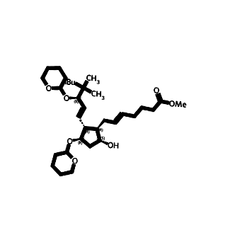 CCCCC(C)(C)[C@@H](C=C[C@@H]1[C@@H](CC=CCCCC(=O)OC)[C@@H](O)C[C@H]1OC1CCCCO1)OC1CCCCO1